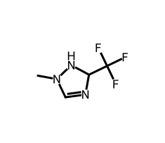 CN1C=NC(C(F)(F)F)N1